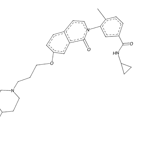 Cc1ccc(C(=O)NC2CC2)cc1-n1ccc2ccc(OCCCN3CCC(F)CC3)cc2c1=O